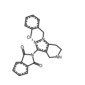 O=C1c2ccccc2C(=O)N1c1nn(Cc2ccccc2C(F)(F)F)c2c1CNCC2